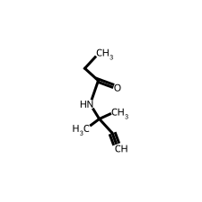 C#CC(C)(C)NC(=O)CC